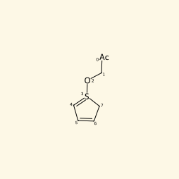 CC(=O)COS1=CC=CC1